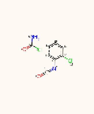 NC(=O)Cl.O=C=Nc1ccccc1Cl